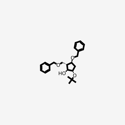 CC(C)(C)O[C@H]1C[C@H](OCc2ccccc2)[C@@H](COCc2ccccc2)[C@@H]1O